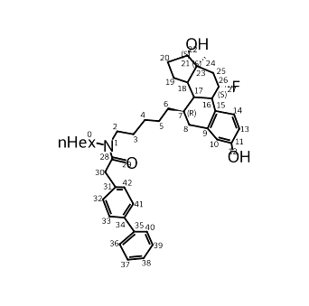 CCCCCCN(CCCCC[C@@H]1Cc2cc(O)ccc2C2C1C1CC[C@H](O)[C@@]1(C)C[C@@H]2F)C(=O)Cc1ccc(-c2ccccc2)cc1